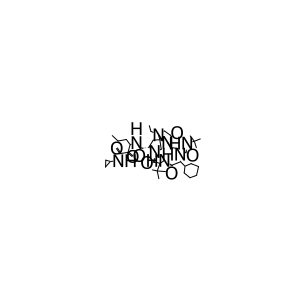 CCCC(NC(=O)[C@@H]1CC2(CN1C(=O)C(NC(=O)C(NC(=O)NC(C)(C)C)C1CCCCC1)C(C)(C)C)N(CC)CC(=O)N2CC)C(=O)C(=O)NC1CC1